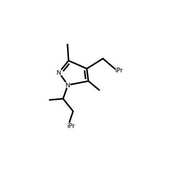 Cc1nn(C(C)CC(C)C)c(C)c1CC(C)C